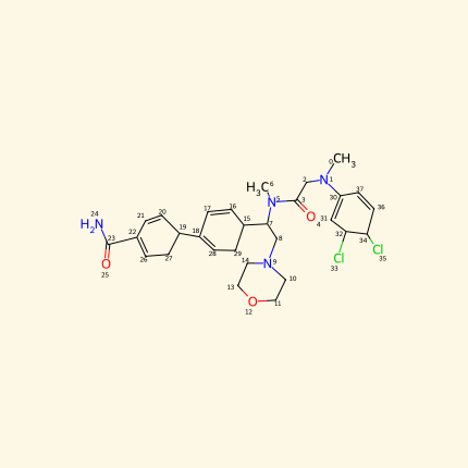 CN(CC(=O)N(C)C(CN1CCOCC1)C1C=CC(C2C=CC(C(N)=O)=CC2)=CC1)C1=CC(Cl)C(Cl)C=C1